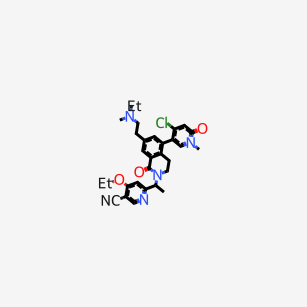 CCOc1cc(C(C)N2CCc3c(cc(CCN(C)CC)cc3-c3cn(C)c(=O)cc3Cl)C2=O)ncc1C#N